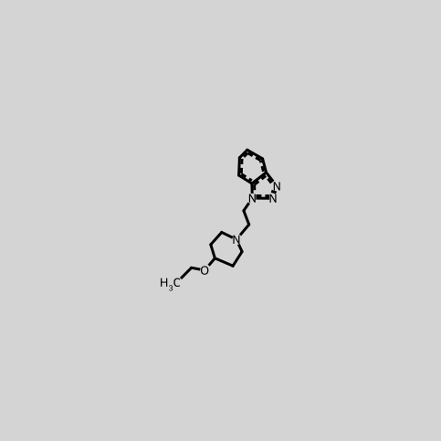 CCOC1CCN(CCn2nnc3ccccc32)CC1